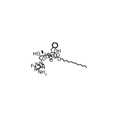 C#C[C@]1(CO[P@](=O)(N[C@@H](Cc2ccccc2)C(=O)O)OCC(=O)OCCCCCCCCCCCC)O[C@@H](n2cnc3c(N)nc(F)nc32)C[C@@H]1O